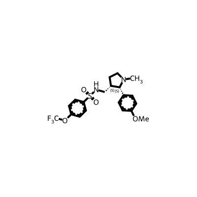 COc1ccc([C@@H]2[C@H](CNS(=O)(=O)c3ccc(OC(F)(F)F)cc3)CCN2C)cc1